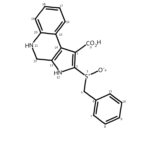 O=C(O)c1c([S+]([O-])Cc2ccccc2)[nH]c2c1-c1ccccc1NC2